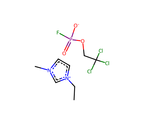 CC[n+]1ccn(C)c1.O=P([O-])(F)OCC(Cl)(Cl)Cl